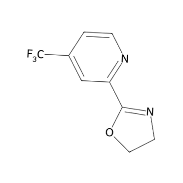 FC(F)(F)c1ccnc(C2=NCCO2)c1